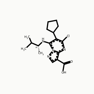 CC(C)[C@@H](C)Nc1c(C2CCCC2)c(Cl)nc2c(C(=O)O)cnn12